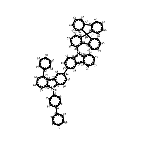 c1ccc(-c2ccc(-n3c4ccc(-c5ccc6c(c5)c5ccccc5n6-c5cccc6c5-c5ccccc5C65c6ccccc6-c6ccccc65)cc4c4c(-c5ccccc5)cccc43)cc2)cc1